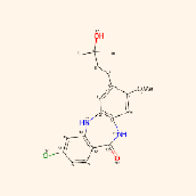 COc1cc2c(cc1CCC(C)(C)O)Nc1cc(Cl)ccc1C(=O)N2